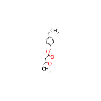 C=Cc1ccc(COC(=O)CC(=O)CC)cc1